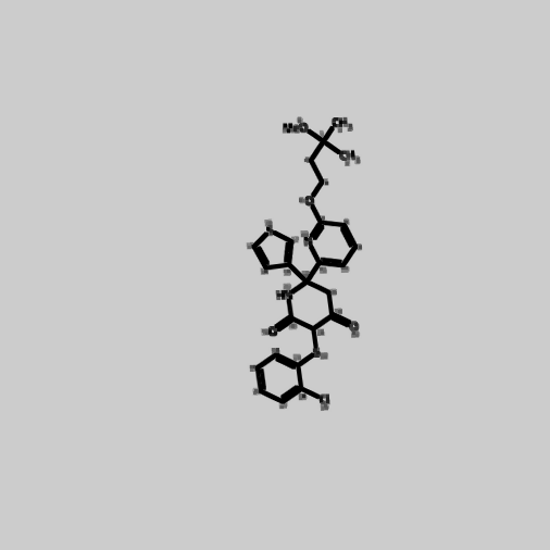 COC(C)(C)CCOc1cccc(C2(c3ccsc3)CC(=O)C(Sc3ccccc3Cl)C(=O)N2)n1